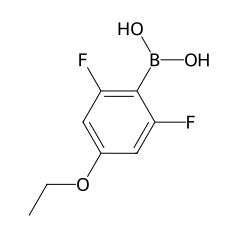 CCOc1cc(F)c(B(O)O)c(F)c1